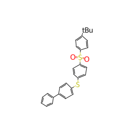 CC(C)(C)c1ccc(S(=O)(=O)c2ccc(Sc3ccc(-c4ccccc4)cc3)cc2)cc1